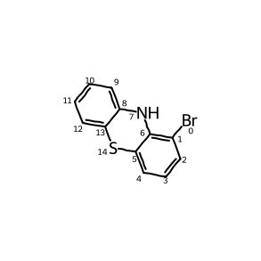 Brc1cccc2c1Nc1ccccc1S2